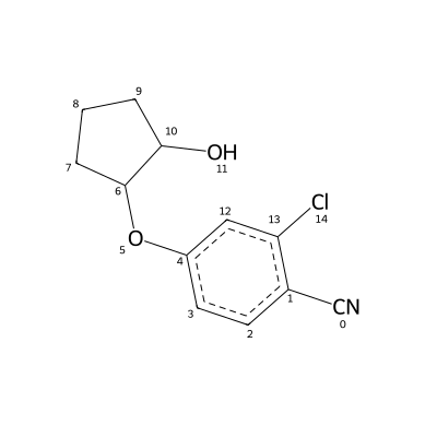 N#Cc1ccc(OC2CCCC2O)cc1Cl